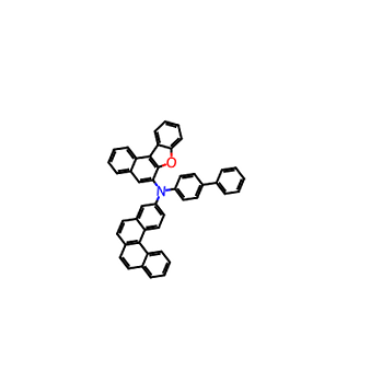 c1ccc(-c2ccc(N(c3ccc4c(ccc5ccc6ccccc6c54)c3)c3cc4ccccc4c4c3oc3ccccc34)cc2)cc1